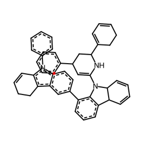 C1=CCCC(C2CC(c3ccccc3)C=C(N3c4c(-c5ccc6c(c5)c5c(n6-c6ccccc6)C=CCC5)cccc4C4C=CC=CC43)N2)=C1